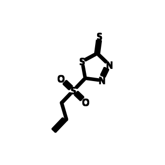 C=CCS(=O)(=O)C1N=NC(=S)S1